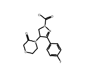 O=C(Cl)N1CC(N2CCOCC2=O)C(c2ccc(F)cc2)=N1